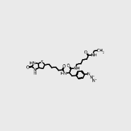 CCNC(=O)CCCCNC(=O)C(Cc1ccc(N=[N+]=[N-])cc1)NC(=O)CCCCC1CC2NC(=O)NC2S1